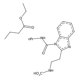 CCCC(=O)OCC.CCCNC(=O)n1c(CCNC(=O)O)nc2ccccc21